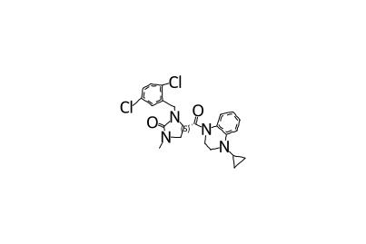 CN1C[C@@H](C(=O)N2CCN(C3CC3)c3ccccc32)N(Cc2cc(Cl)ccc2Cl)C1=O